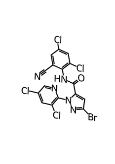 N#Cc1cc(Cl)cc(Cl)c1NC(=O)c1cc(Br)nn1-c1ncc(Cl)cc1Cl